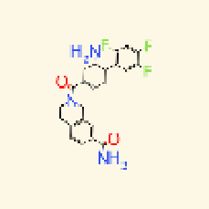 NC(=O)c1ccc2c(c1)CN(C(=O)C1=CCC(c3cc(F)c(F)cc3F)C(N)C1)CC2